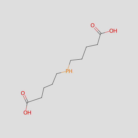 O=C(O)CCCCPCCCCC(=O)O